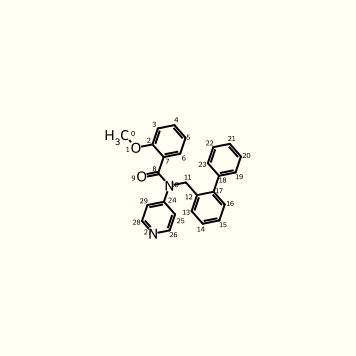 COc1ccccc1C(=O)N(Cc1ccccc1-c1ccccc1)c1ccncc1